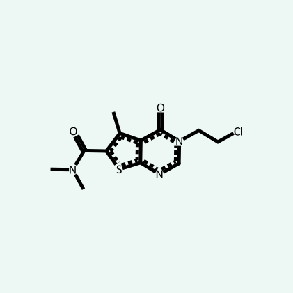 Cc1c(C(=O)N(C)C)sc2ncn(CCCl)c(=O)c12